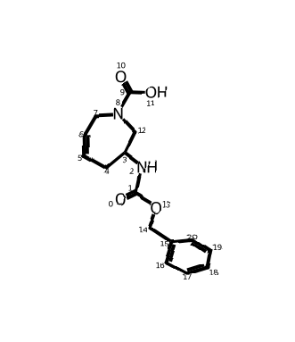 O=C(NC1CC=CCN(C(=O)O)C1)OCc1ccccc1